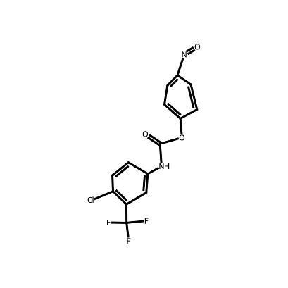 O=Nc1ccc(OC(=O)Nc2ccc(Cl)c(C(F)(F)F)c2)cc1